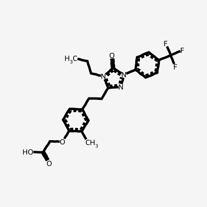 CCCn1c(CCc2ccc(OCC(=O)O)c(C)c2)nn(-c2ccc(C(F)(F)F)cc2)c1=O